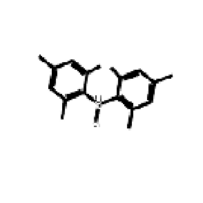 Cc1cc(C)c([SiH](Cl)c2c(C)cc(C)cc2C)c(C)c1